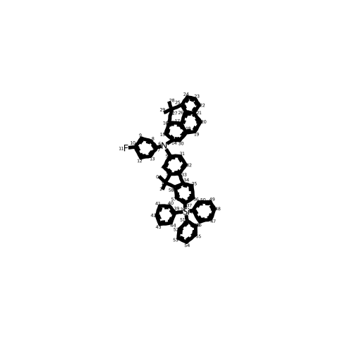 CC1(C)c2cc(N(c3ccc(F)cc3)c3cc4c5c(ccc6cccc(c65)C4(C)C)c3)ccc2-c2ccc([Si](c3ccccc3)(c3ccccc3)c3ccccc3)cc21